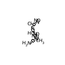 Cn1nc2c(=O)n(CC3(O)CCN(Cc4ccc(-c5ncon5)cc4Cl)CC3)cnc2c1-c1ccc(CN)cc1